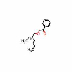 CCCC[C@@H](CC)COCC(=O)c1ccccc1